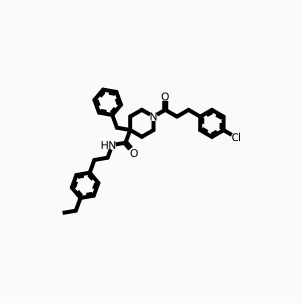 CCc1ccc(CCNC(=O)C2(Cc3ccccc3)CCN(C(=O)CCc3ccc(Cl)cc3)CC2)cc1